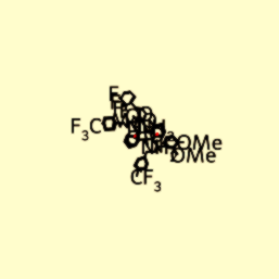 COc1ccc(N(CCc2ccc(C(F)(F)F)cc2)C(=O)C(N)(c2ccccc2)C(N)(C(=O)N(CCc2ccc(C(F)(F)F)cc2)C2=COC=C(C3=CC=CC(F)(F)C3(F)F)O2)c2ccccc2OC)cc1OC